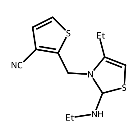 CCNC1SC=C(CC)N1Cc1sccc1C#N